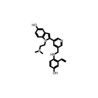 C=Cc1cc(O)ccc1NCc1cncc(-c2cc3cc(O)ccc3n2CCN(C)C)c1